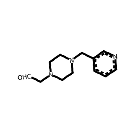 O=CCN1CCN(Cc2cccnc2)CC1